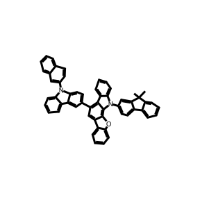 CC1(C)c2ccccc2-c2ccc(-n3c4ccccc4c4c(-c5ccc6c(c5)c5ccccc5n6-c5ccc6ccccc6c5)cc5c6ccccc6oc5c43)cc21